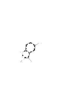 Cc1c2cc(Br)ccc2nn1C